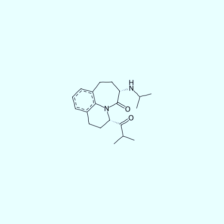 CC(C)N[C@H]1CCc2cccc3c2N(C1=O)[C@H](C(=O)C(C)C)CC3